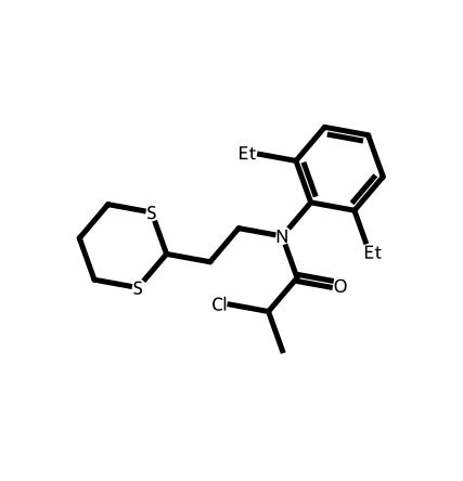 CCc1cccc(CC)c1N(CCC1SCCCS1)C(=O)C(C)Cl